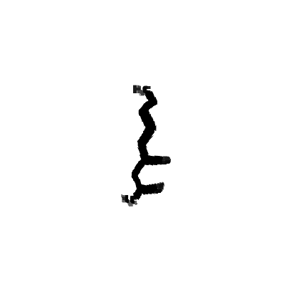 CCC=CCC(=O)CC(C)=O